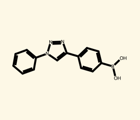 OB(O)c1ccc(-c2cn(-c3ccccc3)nn2)cc1